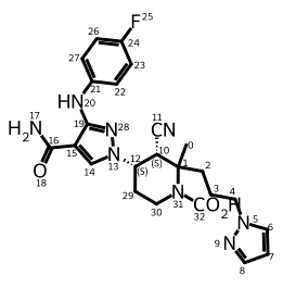 CC1(CCCn2cccn2)[C@@H](C#N)[C@@H](n2cc(C(N)=O)c(Nc3ccc(F)cc3)n2)CCN1C(=O)O